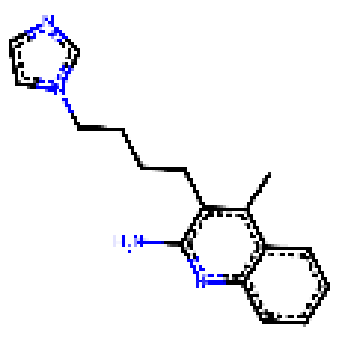 Cc1c(CCCCn2ccnc2)c(N)nc2ccccc12